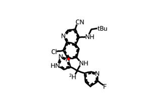 [2H]C(Nc1cc(Cl)c2ncc(C#N)c(NCC(C)(C)C)c2c1)(c1ccc(F)nc1)c1c[nH]nn1